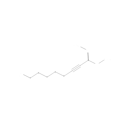 CCCCOC(C#CCCCCCC(=O)OCC)OCCCC